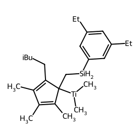 CCc1cc(CC)cc([SiH2]C[C]2([Ti]([CH3])[CH3])C(C)=C(C)C(C)=C2CC(C)CC)c1